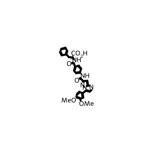 COc1ccc(-c2ccnc3cc(C(=O)Nc4ccc(C(=O)N[C@@H](Cc5ccccc5)C(=O)O)cc4)nn23)cc1OC